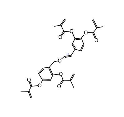 C=C(C)C(=O)Oc1ccc(CO/C=C/c2ccc(OC(=O)C(=C)C)c(OC(=O)C(=C)C)c2)c(OC(=O)C(=C)C)c1